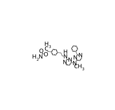 CC(OC(N)=O)c1ccc(CCNc2nccc(N(C)c3ccnc(-c4ccccc4)n3)n2)cc1